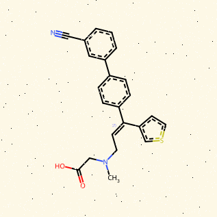 CN(C/C=C(/c1ccc(-c2cccc(C#N)c2)cc1)c1ccsc1)CC(=O)O